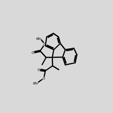 CC(C(=O)OC(C)(C)C)C1(C(C)C(=O)OC(C)(C)C)c2ccccc2-c2ccccc21